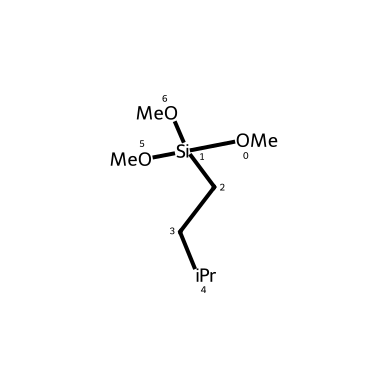 CO[Si](CCC(C)C)(OC)OC